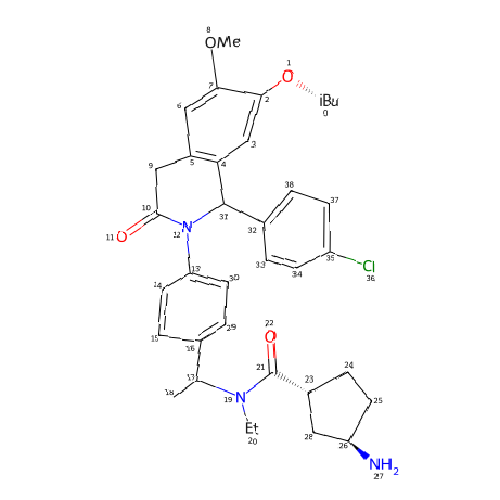 CC[C@@H](C)Oc1cc2c(cc1OC)CC(=O)N(c1ccc(C(C)N(CC)C(=O)[C@@H]3CC[C@@H](N)C3)cc1)C2c1ccc(Cl)cc1